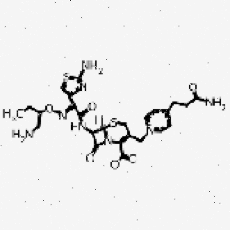 CCC(CN)ON=C(C(=O)NC1C(=O)N2C(C(=O)[O-])=C(C[n+]3ccc(CCC(N)=O)cc3)CS[C@@H]12)c1csc(N)n1